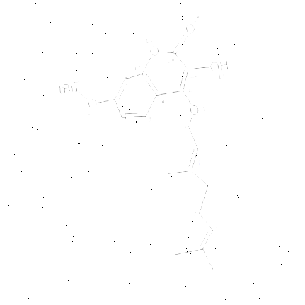 CC(C)=CCC/C(C)=C/COc1c(O)c(=O)oc2cc(OC(C)(C)C)ccc12